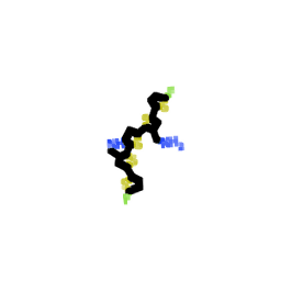 NCc1cc(-c2ccc(F)s2)sc1-c1ccc(-c2sc(-c3ccc(F)s3)cc2CN)s1